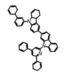 C1=CCC(c2cccc(N3c4ccc(-c5ccc6c7ccccc7n(-c7cc(-c8ccccc8)cc(C8=CCCC=C8)n7)c6c5)cc4C4CCC=CC43)c2)C=C1